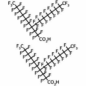 O=C(O)C(F)(F)C(F)(F)C(F)(C(F)(F)C(F)(F)C(F)(F)C(F)(F)C(F)(F)C(F)(F)F)C(F)(F)C(F)(F)C(F)(F)C(F)(F)C(F)(F)C(F)(F)C(F)(F)C(F)(F)F.O=C(O)C(F)(F)C(F)(F)C(F)(C(F)(F)C(F)(F)C(F)(F)C(F)(F)C(F)(F)C(F)(F)F)C(F)(F)C(F)(F)C(F)(F)C(F)(F)C(F)(F)C(F)(F)C(F)(F)C(F)(F)F